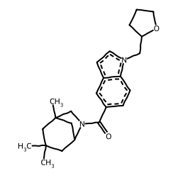 CC1(C)CC2CC(C)(CN2C(=O)c2ccc3c(ccn3CC3CCCO3)c2)C1